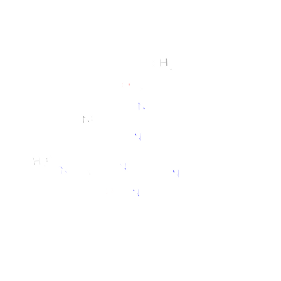 C=CC(=O)N1CCN(c2nc(OC3CCN(C)CC3)nc3c2CN(Cc2cccc4ccccc24)C3)C[C@@H]1CC#N